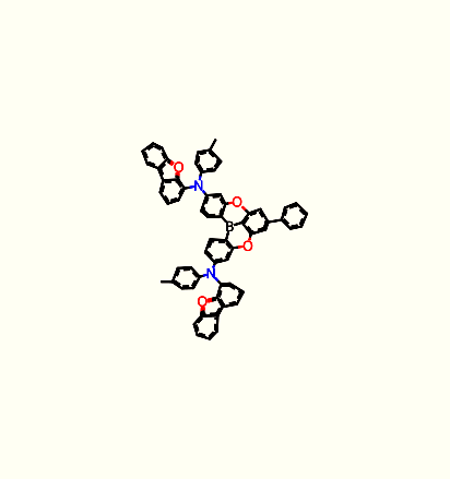 Cc1ccc(N(c2ccc3c(c2)Oc2cc(-c4ccccc4)cc4c2B3c2ccc(N(c3ccc(C)cc3)c3cccc5c3oc3ccccc35)cc2O4)c2cccc3c2oc2ccccc23)cc1